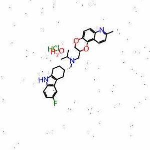 Cc1ccc2c3c(ccc2n1)OC[C@H](CN(C[C@H]1CCc2[nH]c4ccc(F)cc4c2C1)C(C)C)O3.Cl.O